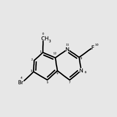 Cc1cc(Br)cc2cnc(F)nc12